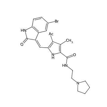 CC(=O)c1c(C=C2C(=O)Nc3ccc(Br)cc32)[nH]c(C(=O)NCCN2CCCC2)c1C